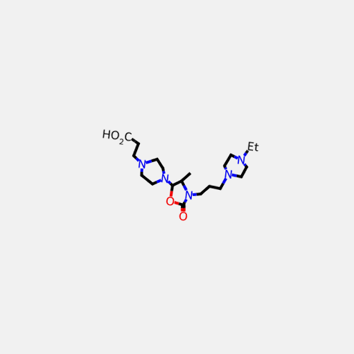 CCN1CCN(CCCN2C(=O)OC(N3CCN(CCC(=O)O)CC3)C2C)CC1